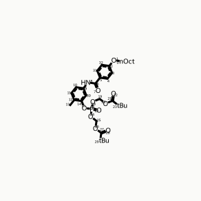 CCCCCCCCOc1ccc(C(=O)Nc2ccc(C)c(OP(=O)(OCOC(=O)C(C)(C)C)OCOC(=O)C(C)(C)C)c2)cc1